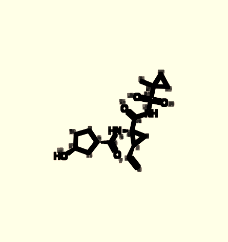 C=C[C@@H]1C[C@]1(NC(=O)[C@H]1CC[C@H](O)C1)C(=O)NS(=O)(=O)C1(C)CC1